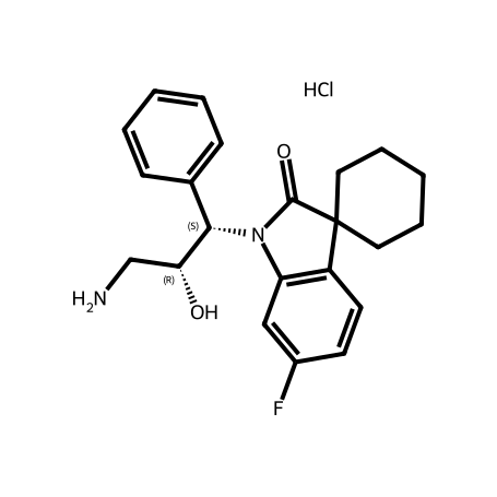 Cl.NC[C@@H](O)[C@H](c1ccccc1)N1C(=O)C2(CCCCC2)c2ccc(F)cc21